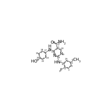 Cc1ccc(F)c(Nc2ncc(C(N)=O)c(Nc3ccc(O)cc3)n2)c1